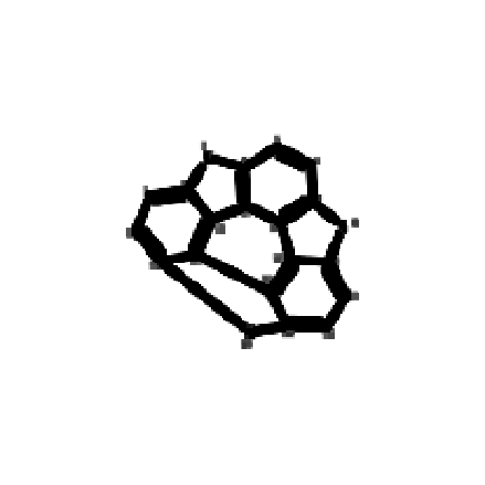 c1cc2sc3ccc4sc5ccc6sc1c1c2c3c4c5c61